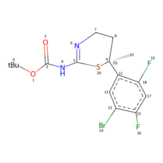 CC(C)(C)OC(=O)NC1=NCC[C@@](C)(c2cc(Br)c(F)cc2F)S1